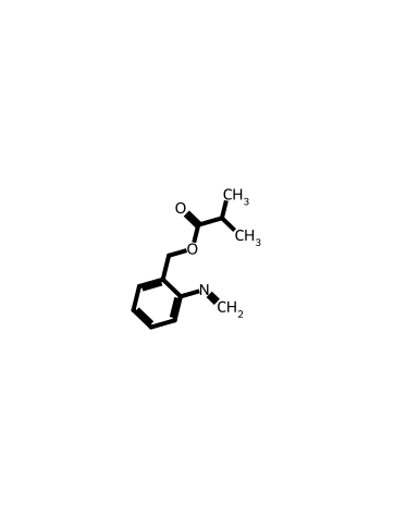 C=Nc1ccccc1COC(=O)C(C)C